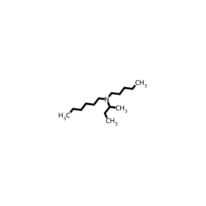 CCCCCCN(CCCCC)C(C)CC